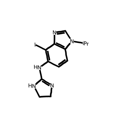 CC(C)n1cnc2c(I)c(NC3=NCCN3)ccc21